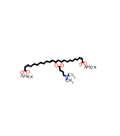 CCCCCCOC(=O)/C=C\CCCCCCCCC(CCCCCCCC/C=C\C(=O)OCCCCCC)OC(=O)CCCN(C)C